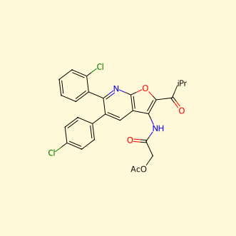 CC(=O)OCC(=O)Nc1c(C(=O)C(C)C)oc2nc(-c3ccccc3Cl)c(-c3ccc(Cl)cc3)cc12